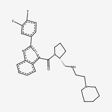 O=C(c1cc(-c2ccc(F)c(F)c2)nc2ccccc12)N1CCC[C@@H]1CNCCN1CCCCC1